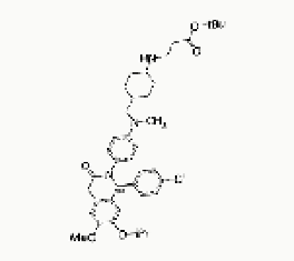 COc1cc2c(cc1OC(C)C)[C@H](c1ccc(Cl)cc1)N(c1ccc(N(C)CC3CCC(NCCC(=O)OC(C)(C)C)CC3)cc1)C(=O)C2